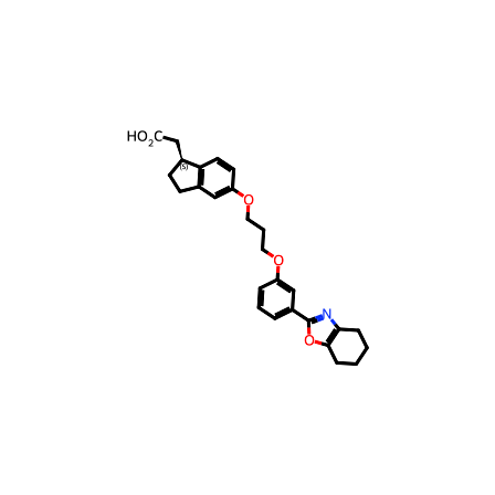 O=C(O)C[C@@H]1CCc2cc(OCCCOc3cccc(-c4nc5c(o4)CCCC5)c3)ccc21